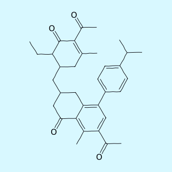 CCC1C(=O)C(C(C)=O)=C(C)CC1CC1CC(=O)c2c(C)c(C(C)=O)cc(-c3ccc(C(C)C)cc3)c2C1